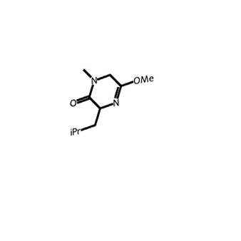 COC1=NC(CC(C)C)C(=O)N(C)C1